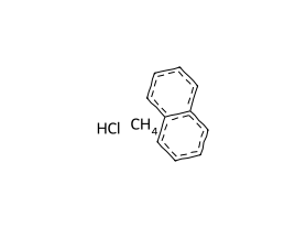 C.Cl.c1ccc2ccccc2c1